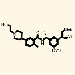 CN/C=C(\C=N)c1cc(OC)cc([C@@H](C)NC(=O)c2cc(C3CCN(CCO)CC3)ccc2C)c1